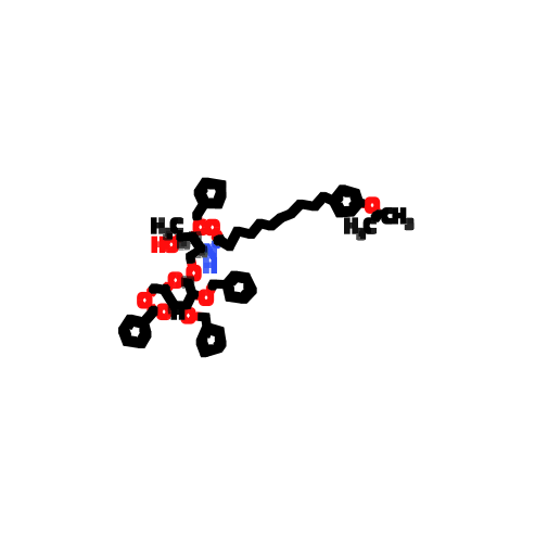 CC(C)Oc1ccc(CCCCCCCCCCC(=O)N[C@@H](CO[C@H]2OC3COC(c4ccccc4)O[C@@H]3C(OCc3ccccc3)C2OCc2ccccc2)[C@H](OCc2ccccc2)[C@@H](C)O)cc1